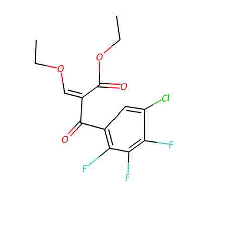 CCOC=C(C(=O)OCC)C(=O)c1cc(Cl)c(F)c(F)c1F